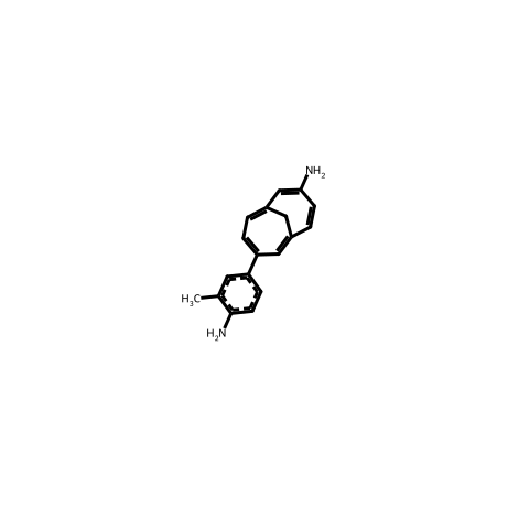 Cc1cc(C2=CC=C3C=C(N)C=CC(=C2)C3)ccc1N